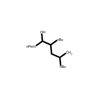 CCCCCC(O)C(CCCC)CC(C)CCCC